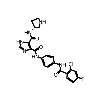 O=C(Nc1ccc(NC(=O)c2nc[nH]c2C(=O)N[C@@H]2CCNC2)cc1)c1ccc(F)cc1Cl